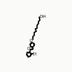 CCc1ccccc1-c1cc2ccc(OCCCCCCCCCCCCO)cc2o1